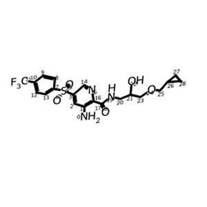 Nc1cc(S(=O)(=O)c2ccc(C(F)(F)F)cc2)cnc1C(=O)NCC(O)COCC1CC1